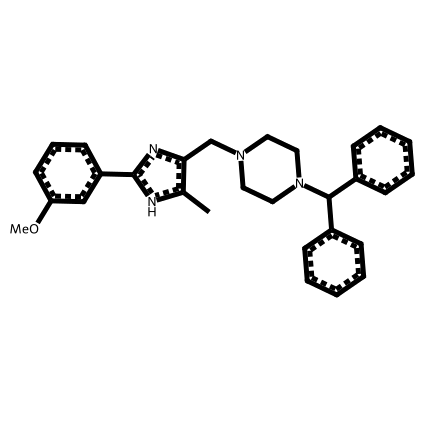 COc1cccc(-c2nc(CN3CCN(C(c4ccccc4)c4ccccc4)CC3)c(C)[nH]2)c1